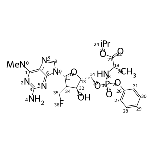 CNc1nc(N)nc2c1ncn2[C@@H]1O[C@H](CO[P@](=O)(NC(C)C(=O)OC(C)C)Oc2ccccc2)[C@@H](O)[C@@H]1CF